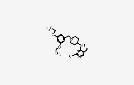 CCOc1cc(CN2CCC(Nc3nc(Cl)ncc3F)CC2)cc(OCC)c1